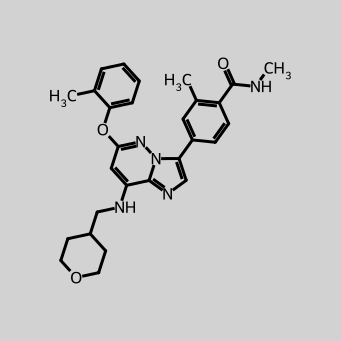 CNC(=O)c1ccc(-c2cnc3c(NCC4CCOCC4)cc(Oc4ccccc4C)nn23)cc1C